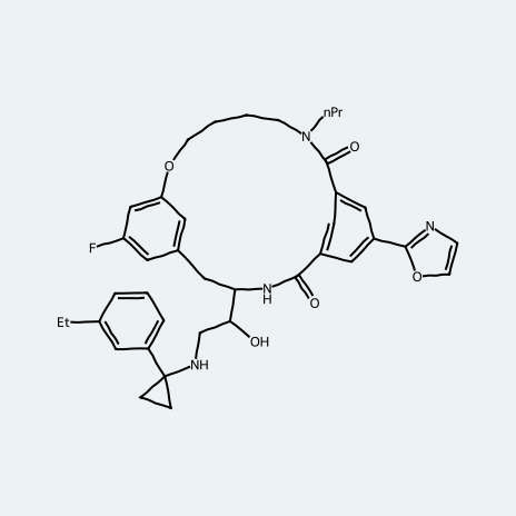 CCCN1CCCCOc2cc(F)cc(c2)CC(C(O)CNC2(c3cccc(CC)c3)CC2)NC(=O)c2cc(cc(-c3ncco3)c2)C1=O